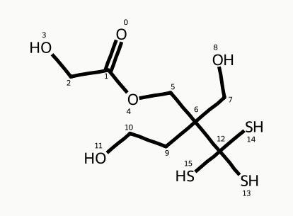 O=C(CO)OCC(CO)(CCO)C(S)(S)S